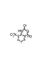 O=c1[nH]c2c([N+](=O)[O-])cccc2c(=O)o1